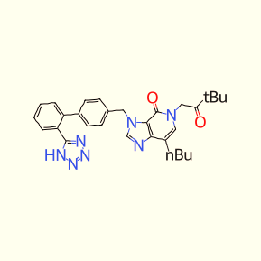 CCCCc1cn(CC(=O)C(C)(C)C)c(=O)c2c1ncn2Cc1ccc(-c2ccccc2-c2nnn[nH]2)cc1